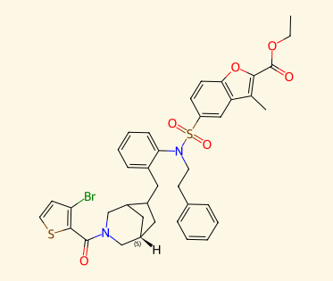 CCOC(=O)c1oc2ccc(S(=O)(=O)N(CCc3ccccc3)c3ccccc3CC3C[C@H]4CC3CN(C(=O)c3sccc3Br)C4)cc2c1C